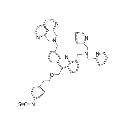 S=C=Nc1ccc(CCOCc2c3cccc(CN(Cc4ccccn4)Cc4ccccn4)c3nc3c(CN(Cc4ccccn4)Cc4ccccn4)cccc23)cc1